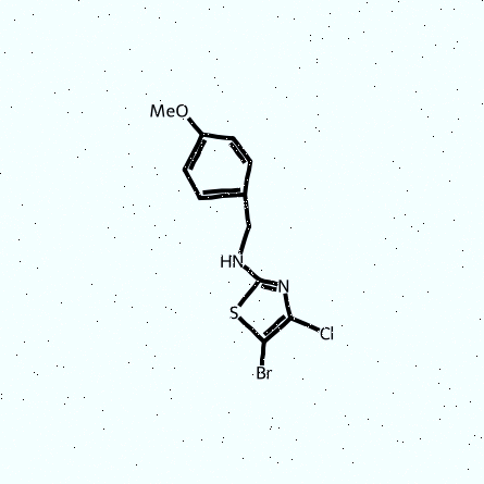 COc1ccc(CNc2nc(Cl)c(Br)s2)cc1